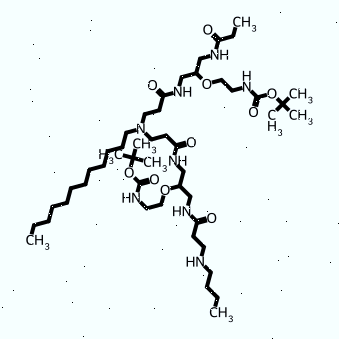 CCCCCCCCCCCCN(CCC(=O)NCC(CNC(=O)CC)OCCNC(=O)OC(C)(C)C)CCC(=O)NCC(CNC(=O)CCNCCCC)OCCNC(=O)OC(C)(C)C